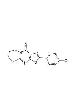 S=c1c2cc(-c3ccc(Cl)cc3)oc2nc2n1CCCC2